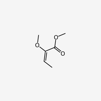 C/C=C(/OC)C(=O)OC